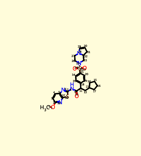 COc1ccc2nc(NC(=O)C(CC3CCCC3)c3ccc(S(=O)(=O)N4CCN5C=CCC5C4)cc3)sc2n1